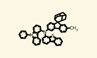 Cc1ccc2c(c1)C1(c3ccc(N(c4cccc5c4sc4ccccc45)c4cccc5c4c4ccccc4n5-c4ccccc4)cc3-2)C2CC3CC(C2)CC1C3